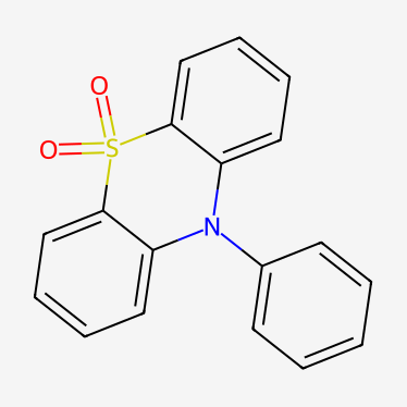 O=S1(=O)c2ccccc2N(c2ccccc2)c2ccccc21